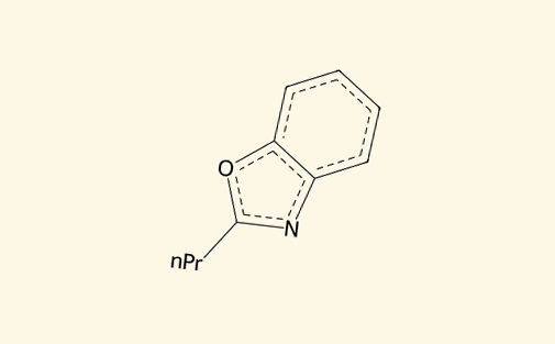 [CH2]CCc1nc2ccccc2o1